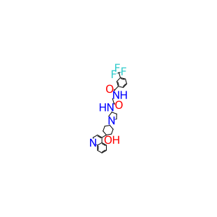 O=C(CNC(=O)c1cccc(C(F)(F)F)c1)NC1CCN(C2CCC(O)(c3ccnc4ccccc34)CC2)C1